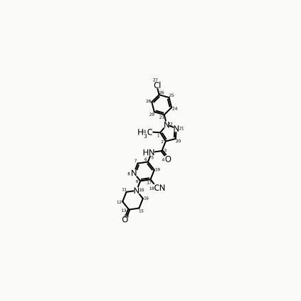 Cc1c(C(=O)Nc2cnc(N3CCC(=O)CC3)c(C#N)c2)cnn1-c1ccc(Cl)cc1